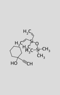 C#CC1(O)CCCCC1.C=C[Si](C)(C=C)O[Si](C)(C)C